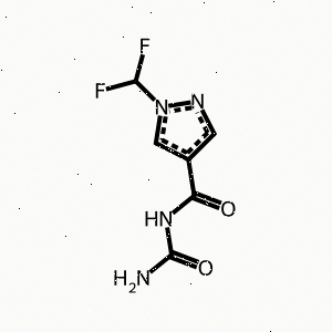 NC(=O)NC(=O)c1cnn(C(F)F)c1